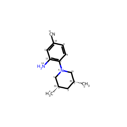 C[C@@H]1C[C@H](C)CN(c2ccc(C#N)cc2N)C1